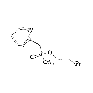 CC(C)CCOP(C)(=O)Cc1ccccn1